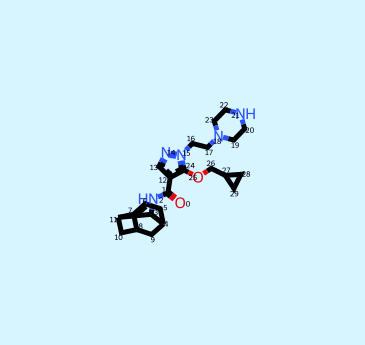 O=C(NC1C2CC=C3C(C2)CC31)c1cnn(CCN2CCNCC2)c1OCC1CC1